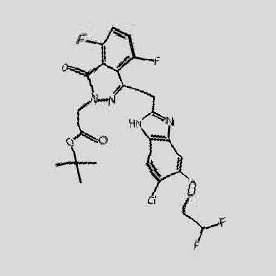 CC(C)(C)OC(=O)Cn1nc(Cc2nc3cc(OCC(F)F)c(Cl)cc3[nH]2)c2c(F)ccc(F)c2c1=O